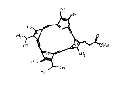 CCCC1=C(C)c2cc3[nH]c(cc4nc(cc5[nH]c(cc1n2)c(CCC(=O)OC)c5C)C(C(C)O)=C4C)c(C(C)O)c3C